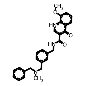 COc1cccc2c(=O)c(C(=O)NCc3cccc(CN(C)Cc4ccccc4)c3)c[nH]c12